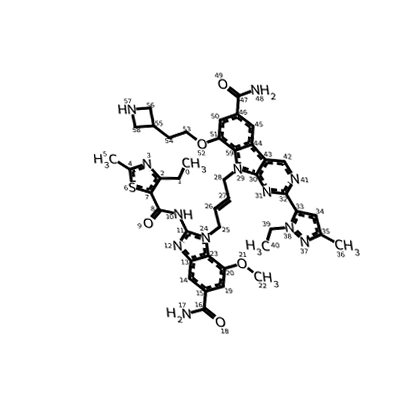 CCc1nc(C)sc1C(=O)Nc1nc2cc(C(N)=O)cc(OC)c2n1C/C=C/Cn1c2nc(-c3cc(C)nn3CC)ncc2c2cc(C(N)=O)cc(OCCC3CNC3)c21